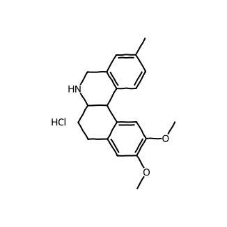 COc1cc2c(cc1OC)C1c3ccc(C)cc3CNC1CC2.Cl